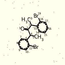 CC(C(=O)C(C)c1ccccc1Br)c1ccccc1Br